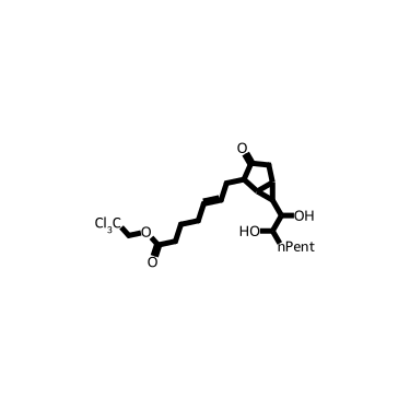 CCCCCC(O)C(O)C1C2CC(=O)C(CC=CCCCC(=O)OCC(Cl)(Cl)Cl)C21